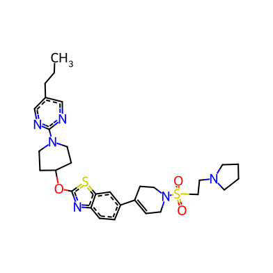 CCCc1cnc(N2CCC(Oc3nc4ccc(C5=CCN(S(=O)(=O)CCN6CCCC6)CC5)cc4s3)CC2)nc1